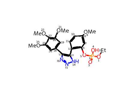 CCOP(=O)(O)Oc1cc(OC)ccc1-c1[nH]nnc1-c1cc(OC)c(OC)c(OC)c1